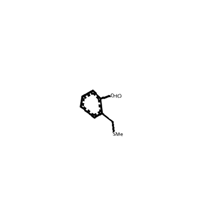 CSCc1ccccc1C=O